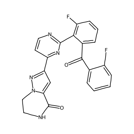 O=C(c1ccccc1F)c1cccc(F)c1-c1nccc(-c2cc3n(n2)CCNC3=O)n1